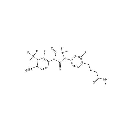 CNC(=O)CCCc1ccc(N2C(=S)N(C3=C(F)C(C(F)(F)F)C(C#N)C=C3)C(=O)C2(C)C)cc1F